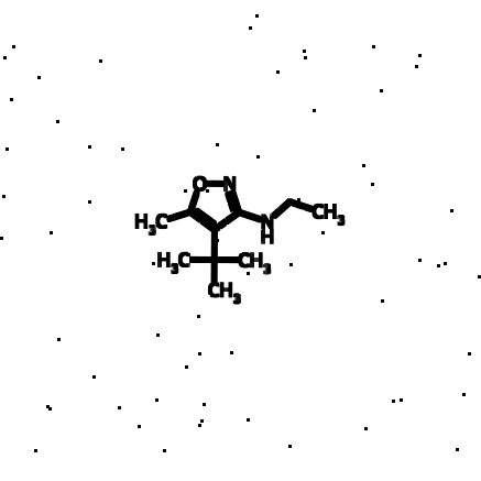 CCNc1noc(C)c1C(C)(C)C